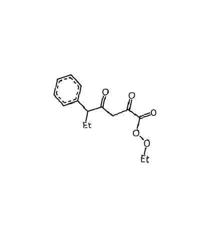 CCOOC(=O)C(=O)CC(=O)C(CC)c1ccccc1